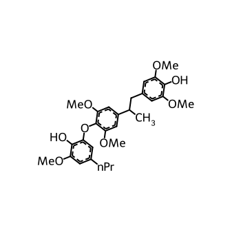 CCCc1cc(OC)c(O)c(Oc2c(OC)cc(C(C)Cc3cc(OC)c(O)c(OC)c3)cc2OC)c1